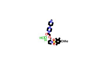 COc1cc(C)c(S(=O)(=O)N2CCC[C@@H]2COCC(=O)N2CCN(C3CCN(C)CC3)CC2)c(C)c1C.Cl.Cl